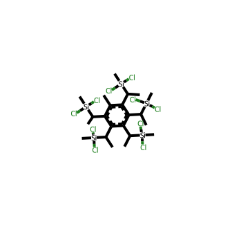 Cc1c(C(C)[Si](C)(Cl)Cl)c(C(C)[Si](C)(Cl)Cl)c(C(C)[Si](C)(Cl)Cl)c(C(C)[Si](C)(Cl)Cl)c1C(C)[Si](C)(Cl)Cl